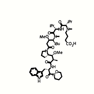 CC[C@H](C)[C@@H]([C@@H](CC(=O)N1CCC[C@H]1[C@H](OC)[C@@H](C)C(=O)N[C@@H](Cc1c[nH]c2ccccc12)C(=O)N1CCCCO1)OC)N(C)C(=O)[C@@H](NC(=O)[C@H](C(C)C)N(C)CCCC(=O)O)C(C)C